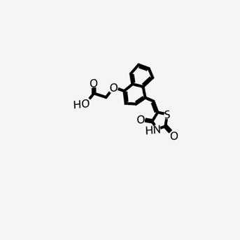 O=C(O)COc1ccc(C=C2SC(=O)NC2=O)c2ccccc12